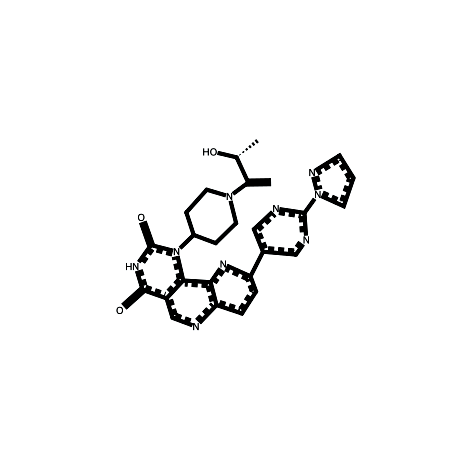 C=C([C@@H](C)O)N1CCC(n2c(=O)[nH]c(=O)c3cnc4ccc(-c5cnc(-n6cccn6)nc5)nc4c32)CC1